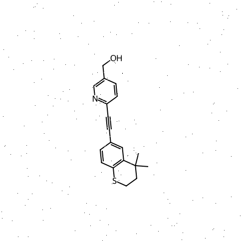 CC1(C)CCSc2ccc(C#Cc3ccc(CO)cn3)cc21